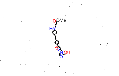 COC(=O)CCCNC1CCC(C#Cc2ccc(-c3cc(Cn4ccnc4[C@@H](C)O)no3)cc2)CC1